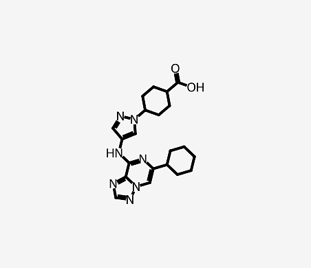 O=C(O)C1CCC(n2cc(Nc3nc(C4CCCCC4)cn4ncnc34)cn2)CC1